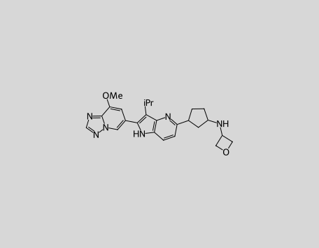 COc1cc(-c2[nH]c3ccc(C4CCC(NC5COC5)C4)nc3c2C(C)C)cn2ncnc12